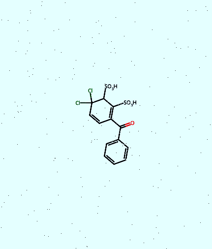 O=C(C1=C(S(=O)(=O)O)C(S(=O)(=O)O)C(Cl)(Cl)C=C1)c1ccccc1